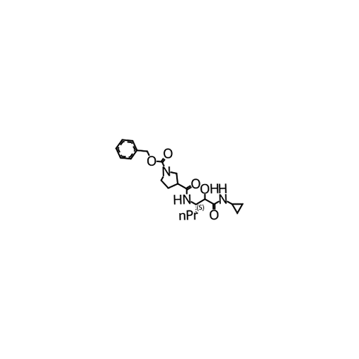 CCC[C@H](NC(=O)C1CCN(C(=O)OCc2ccccc2)C1)C(O)C(=O)NC1CC1